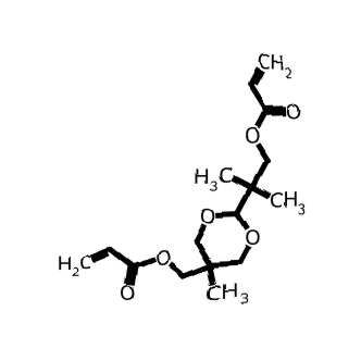 C=CC(=O)OCC1(C)COC(C(C)(C)COC(=O)C=C)OC1